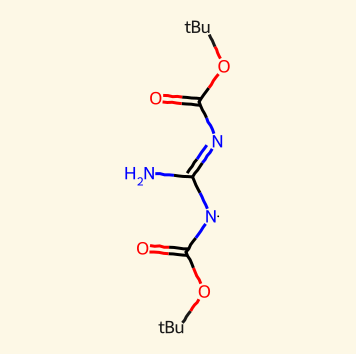 CC(C)(C)OC(=O)[N]/C(N)=N/C(=O)OC(C)(C)C